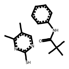 CC(C)(C)C(=O)Nc1ccccc1.Cc1cnc(S)nc1C